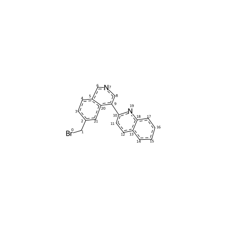 BrCc1ccc2cncc(-c3ccc4ccccc4n3)c2c1